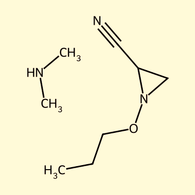 CCCON1CC1C#N.CNC